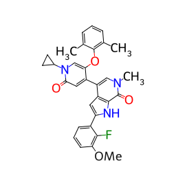 COc1cccc(-c2cc3c(-c4cc(=O)n(C5CC5)cc4Oc4c(C)cccc4C)cn(C)c(=O)c3[nH]2)c1F